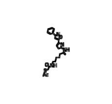 C=C(CCCCCNC(=O)CSC(C)=O)NC1=NC(c2cc(-c3ccccc3)no2)=CC1